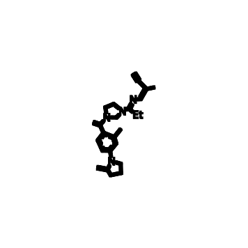 C#C/C(C)=C\N=C(/CC)N1CCN(C(=C)c2ccc(N3CCCC3=C)cc2C)C1